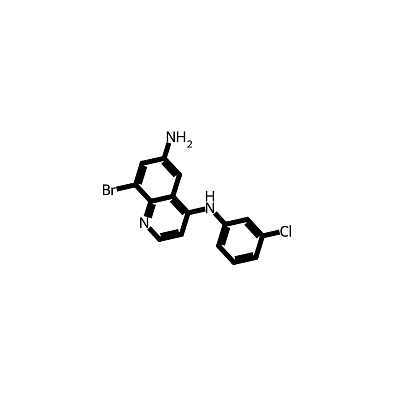 Nc1cc(Br)c2nccc(Nc3cccc(Cl)c3)c2c1